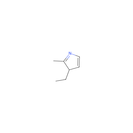 CCC1C=CN=C1C